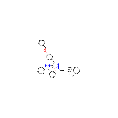 CC(C)[C@@](C#N)(CCCNC(=O)[C@H](Cc1ccc(OCc2ccccc2)cc1)NC(c1ccccc1)c1ccccc1)c1ccccc1